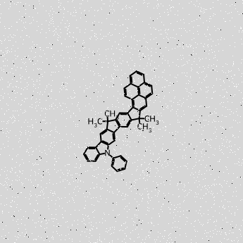 CC1(C)c2cc3c(cc2-c2cc4c(cc21)c1ccccc1n4-c1ccccc1)C(C)(C)c1cc2ccc4cccc5ccc(c1-3)c2c45